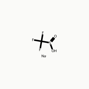 O=S(O)C(F)(F)F.[Na]